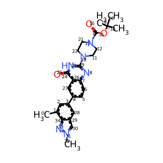 Cc1cc(-c2ccc3nc(N4CCN(C(=O)OC(C)(C)C)CC4)[nH]c(=O)c3c2)cc2cn(C)nc12